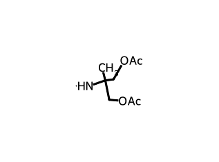 CC(=O)OCC(C)([NH])COC(C)=O